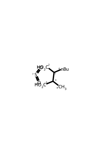 CCCCC(C(=O)O)C(C)C(=O)O.O=S=O